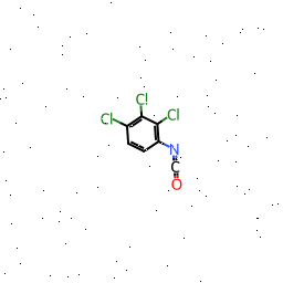 O=C=Nc1ccc(Cl)c(Cl)c1Cl